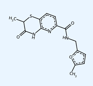 Cc1ccc(CNC(=O)c2ccc3c(n2)NC(=O)C(C)S3)o1